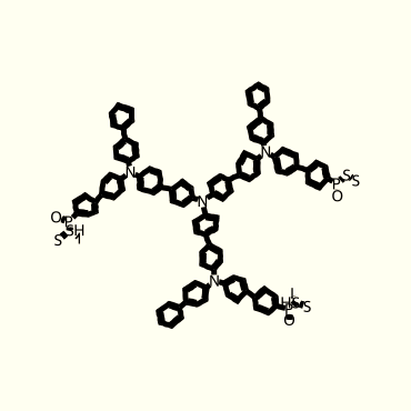 O=P(=S=S)c1ccc(-c2ccc(N(c3ccc(-c4ccccc4)cc3)c3ccc(-c4ccc(N(c5ccc(-c6ccc(N(c7ccc(-c8ccccc8)cc7)c7ccc(-c8ccc(P(=O)=[SH](=S)I)cc8)cc7)cc6)cc5)c5ccc(-c6ccc(N(c7ccc(-c8ccccc8)cc7)c7ccc(-c8ccc(P(=O)=[SH](=S)I)cc8)cc7)cc6)cc5)cc4)cc3)cc2)cc1